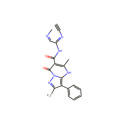 C#C/N=C(\C=N/C)NC(=O)c1c(C)[nH]c2c(-c3ccccc3)c(C(F)(F)F)nn2c1=O